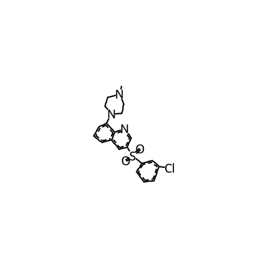 CN1CCN(c2cccc3cc(S(=O)(=O)c4cccc(Cl)c4)cnc23)CC1